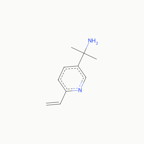 C=Cc1ccc(C(C)(C)N)cn1